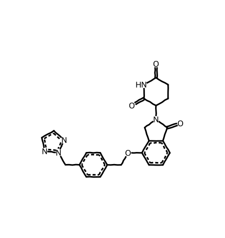 O=C1CCC(N2Cc3c(OCc4ccc(Cn5nccn5)cc4)cccc3C2=O)C(=O)N1